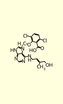 C/C(=C\CNc1ncnc2[nH]cnc12)CO.COc1c(Cl)ccc(Cl)c1C(=O)O